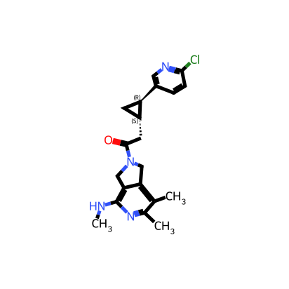 CNc1nc(C)c(C)c2c1CN(C(=O)C[C@@H]1C[C@H]1c1ccc(Cl)nc1)C2